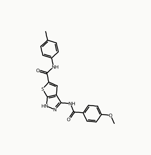 COc1ccc(C(=O)Nc2n[nH]c3sc(C(=O)Nc4ccc(C)cc4)cc23)cc1